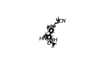 CC(C)(C#N)CCSNc1ccc(-c2cc(NC(=O)C3CC3)nc3[nH]ccc23)cc1F